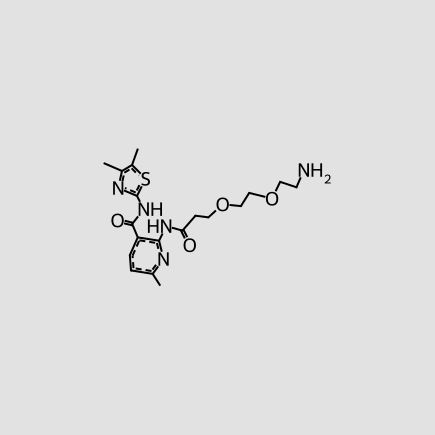 Cc1ccc(C(=O)Nc2nc(C)c(C)s2)c(NC(=O)CCOCCOCCN)n1